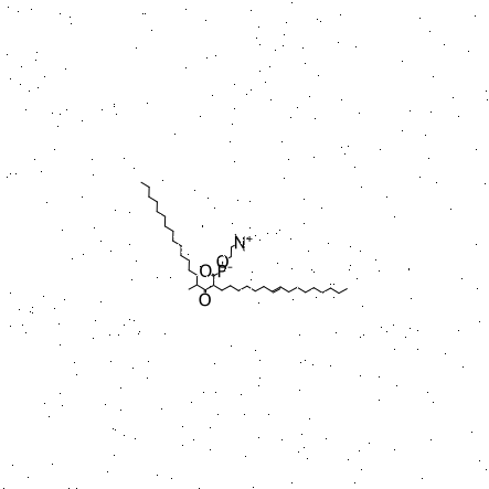 CCCCCCCCC=CCCCCCCC(C(=O)[P-]OCC[N+](C)(C)C)C(=O)C(C)CCCCCCCCCCCCCC